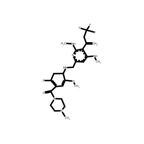 C=C(CC(F)(F)F)c1c(NC)cc(CNC2CC(F)=C(C(=O)N3CCN(C)CC3)C=C2OC)nc1NC